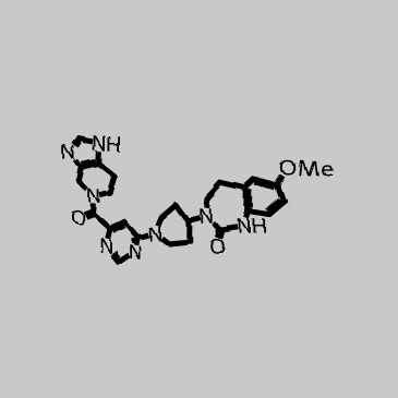 COc1ccc2c(c1)CCN(C1CCN(c3cc(C(=O)N4CCc5[nH]cnc5C4)ncn3)CC1)C(=O)N2